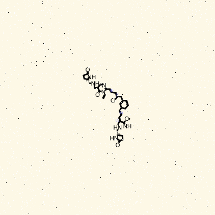 C=CN1C(=O)C(CNC[C@@H]2CCC(=O)N2)CN=C1/C=C/C=C(\Cl)CC1=CC(/C=C/C=C(/CNC[C@@H]2CCC(=O)N2)C(=N)OC)CC=C1